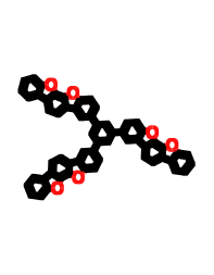 c1ccc2c(c1)oc1c2ccc2c3cc(-c4cc(-c5ccc6oc7c(ccc8c9ccccc9oc87)c6c5)cc(-c5ccc6oc7c(ccc8c9ccccc9oc87)c6c5)c4)ccc3oc21